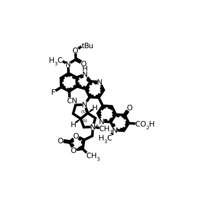 Cc1oc(=O)oc1C[N+]1(C)C[C@@H]2CCN(c3c(-c4cnc5c(c4)c(=O)c(C(=O)O)cn5C)cnc4[nH]c5c(N(C)C(=O)OC(C)(C)C)cc(F)c(C#N)c5c34)[C@@H]2C1